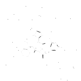 CC[C@@H](NC(=O)N1C(=O)[C@H](Cc2cc(C)nc(N)c2)[C@H]1C(=O)N(C)c1nccn1C)C1CCCCC1